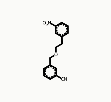 N#Cc1cccc(COCCc2cccc([N+](=O)[O-])c2)c1